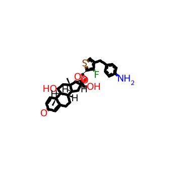 C[C@]12C=CC(=O)C=C1CC[C@@H]1[C@@H]2[C@@H](O)C[C@@]2(C)[C@H]1C[C@H]1O[C@@H](c3scc(Cc4ccc(N)cc4)c3F)O[C@]12C(=O)CO